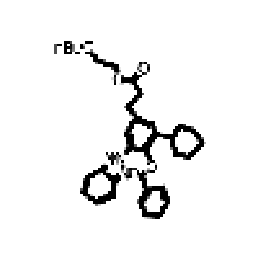 CCCCOCCOC(=O)CCc1cc(C2CCCCC2)c(OC(=O)c2ccccc2)c(-n2nc3ccccc3n2)c1